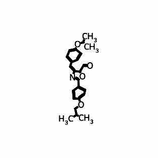 CC(C)COc1ccc(C2=NC(=Cc3ccc(OC(C)C)cc3)C(C=O)O2)cc1